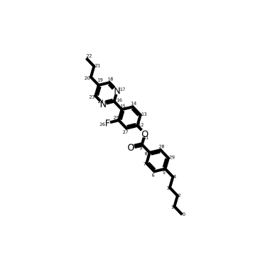 CCCCCc1ccc(C(=O)Oc2ccc(-c3ncc(CCC)cn3)c(F)c2)cc1